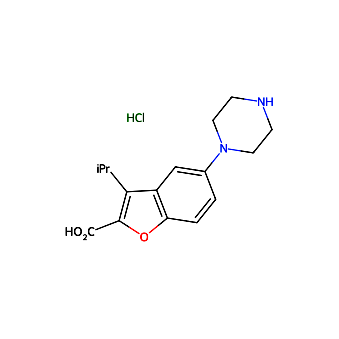 CC(C)c1c(C(=O)O)oc2ccc(N3CCNCC3)cc12.Cl